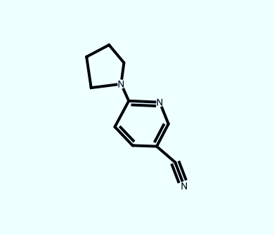 N#Cc1ccc(N2CCCC2)nc1